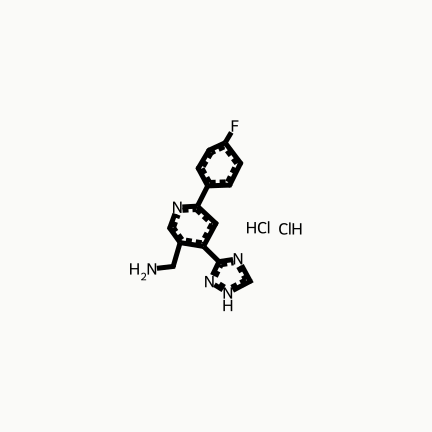 Cl.Cl.NCc1cnc(-c2ccc(F)cc2)cc1-c1nc[nH]n1